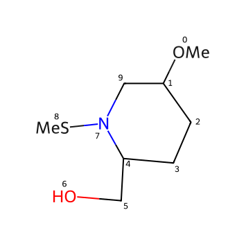 COC1CCC(CO)N(SC)C1